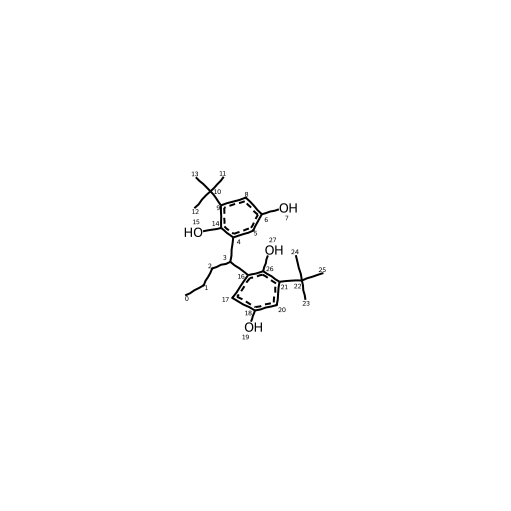 CCCC(c1cc(O)cc(C(C)(C)C)c1O)c1cc(O)cc(C(C)(C)C)c1O